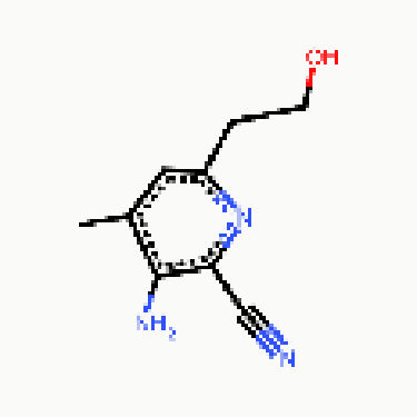 Cc1cc(CCO)nc(C#N)c1N